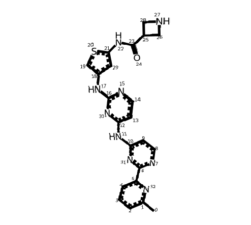 Cc1cccc(-c2nccc(Nc3ccnc(Nc4csc(NC(=O)C5CNC5)c4)n3)n2)n1